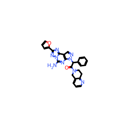 Nc1nc2c(cnn2C(C(=O)N2CCc3ncccc3C2)c2ccccc2)c2nc(-c3ccco3)nn12